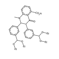 CCOC(OCC)c1cccc(C2C(=O)c3c(C(=O)O)cccc3N(C)C2c2cccc(C(OCC)OCC)c2)c1